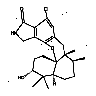 C[C@H]1CC[C@H]2C(C)(C)[C@H](O)CC[C@]23Oc2c(cc(Cl)c4c2CNC4=O)C[C@]13C